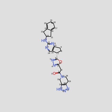 O=C(Cc1nnc([C@H]2CCc3nc(NC4Cc5ccccc5C4)ncc32)o1)N1CCc2nn[nH]c2C1